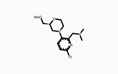 CCc1ccc(N2CCO[C@H](COC)C2)c(CN(C)C)n1